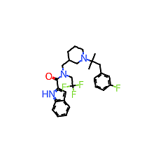 CC(C)(Cc1cccc(F)c1)N1CCCC(CN(CC(F)(F)F)C(=O)c2cc3ccccc3[nH]2)C1